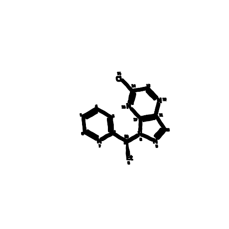 CC[C@@H](c1ccccn1)n1ncc2ncc(Cl)nc21